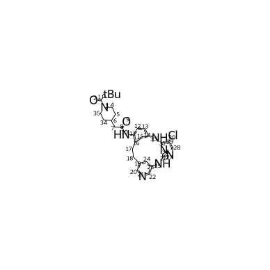 CC(C)(C)C(=O)N1CCC(CC(=O)Nc2ccc3cc2CCc2cncc(c2)Nc2ncc(Cl)c(n2)N3)CC1